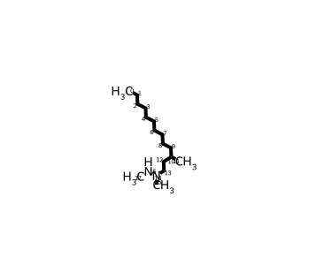 CCCCCCCCCCC(C)CCN(C)NC